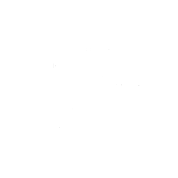 CCOc1c(-c2c(C)cc(Sc3cc(C)c(-c4cc(C)cc(C(C)(C)C)c4OCC)c(C(C)(C)C)c3O)c(O)c2C(C)(C)C)cc(C)cc1C(C)(C)C